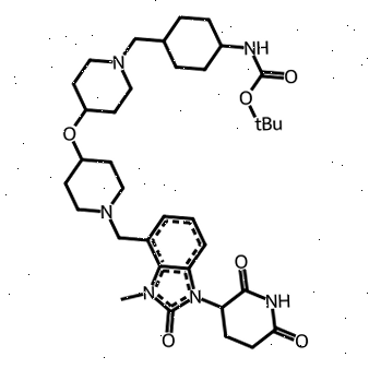 Cn1c(=O)n(C2CCC(=O)NC2=O)c2cccc(CN3CCC(OC4CCN(CC5CCC(NC(=O)OC(C)(C)C)CC5)CC4)CC3)c21